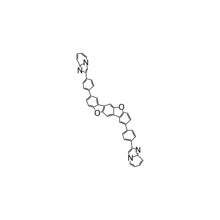 c1ccn2cc(-c3ccc(-c4ccc5oc6cc7c(cc6c5c4)oc4ccc(-c5ccc(-c6cn8ccccc8n6)cc5)cc47)cc3)nc2c1